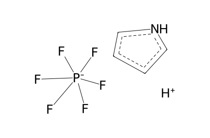 F[P-](F)(F)(F)(F)F.[H+].c1cc[nH]c1